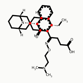 CC[C@@H]1C[C@@H]2C[C@H](C1)C[C@@H](N1[C@@H]3CCC[C@H]1C[C@@H](n1c(=O)c(/C(CCC(=O)O)=N/OCCN(C)C)nc4ccccc41)C3)C2